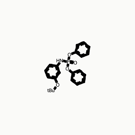 CC(C)(C)Oc1cccc(NP(=O)(Oc2ccccc2)Oc2ccccc2)c1